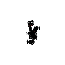 CC(C)Oc1ccccc1[C@@H]1COCCN1[C@H]1CC2(CCN(c3ccc(C(=O)NS(=O)(=O)c4cc5c(c([N+](=O)[O-])c4)N[C@H](C4CCC(C)(OP(=O)(O)O)CC4)CO5)c(N4c5cc6cc[nH]c6nc5O[C@H]5COCC[C@@H]54)c3)CC2)[C@@H]1C